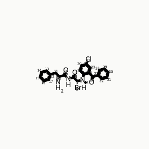 Br.CN(CC(=O)NC(=O)[C@@H](N)Cc1ccccc1)c1ccc(Cl)cc1C(=O)c1ccccc1